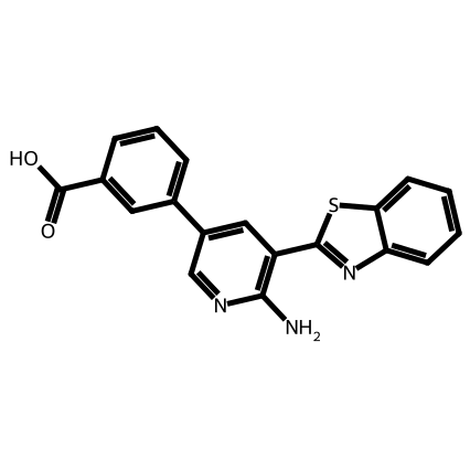 Nc1ncc(-c2cccc(C(=O)O)c2)cc1-c1nc2ccccc2s1